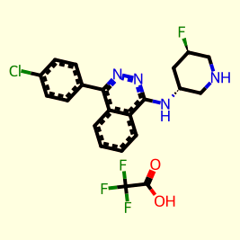 F[C@H]1CNC[C@H](Nc2nnc(-c3ccc(Cl)cc3)c3ccccc23)C1.O=C(O)C(F)(F)F